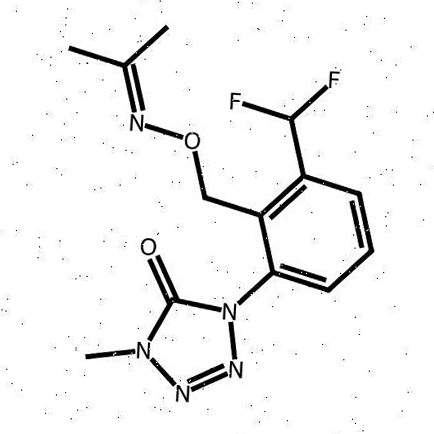 CC(C)=NOCc1c(C(F)F)cccc1-n1nnn(C)c1=O